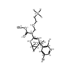 CC(C)(C)OC(=O)N(COCC[Si](C)(C)C)C1=N[C@](C)(c2cc(Br)cnc2F)C2C[C@]2(C(=O)O)S1